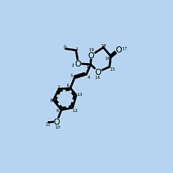 CCOC1(C=Cc2ccc(OC)cc2)OCC(=O)CO1